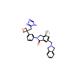 Cn1cnnc1CC1(c2cccc(N3Cc4c(cc(CN5Cc6ccccc6C5)cc4C(F)(F)F)C3=O)c2)COC1